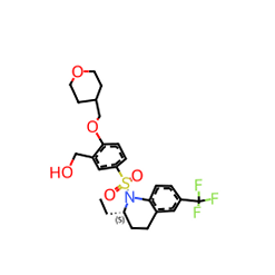 CC[C@H]1CCc2cc(C(F)(F)F)ccc2N1S(=O)(=O)c1ccc(OCC2CCOCC2)c(CO)c1